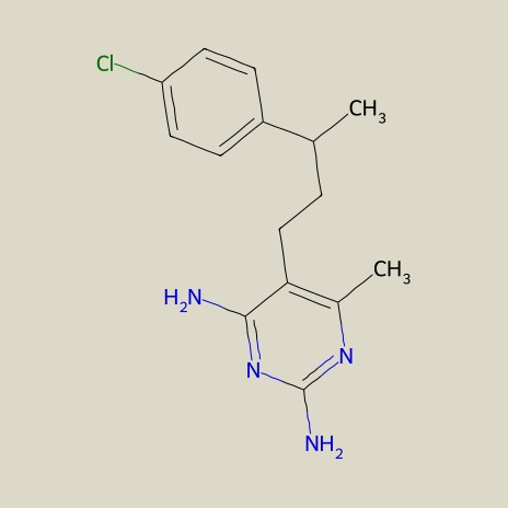 Cc1nc(N)nc(N)c1CCC(C)c1ccc(Cl)cc1